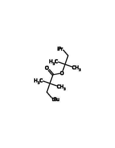 CC(C)CC(C)(C)OC(=O)C(C)(C)CC(C)(C)C